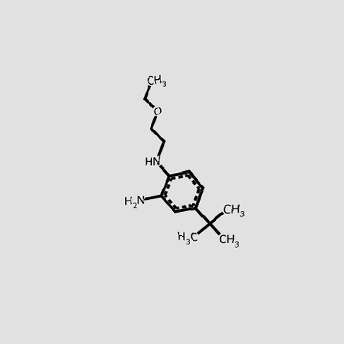 CCOCCNc1ccc(C(C)(C)C)cc1N